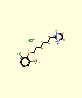 Cc1cccc(Cl)c1OCCCCCCc1ncc[nH]1.Cl